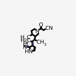 CC/N=C1/NC=C/C1=C(/C)C(C)C1CN(C(=O)CC#N)CCC1C